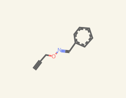 C#CCON=Cc1ccccc1